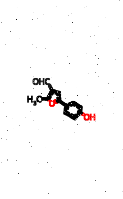 Cc1oc(-c2ccc(O)cc2)cc1C=O